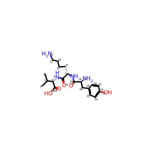 CC(C)[C@H](NC(=O)[C@H](CCCCN)NC(=O)[C@@H](N)Cc1ccc(O)cc1)C(=O)O